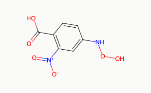 O=C(O)c1ccc(NOO)cc1[N+](=O)[O-]